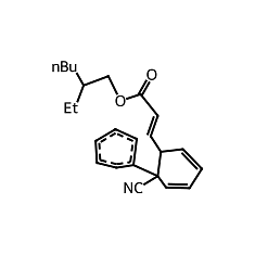 CCCCC(CC)COC(=O)C=CC1C=CC=CC1(C#N)c1ccccc1